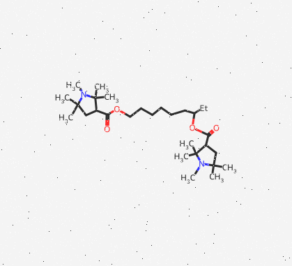 CCC(CCCCCCOC(=O)C1CC(C)(C)N(C)C1(C)C)OC(=O)C1CC(C)(C)N(C)C1(C)C